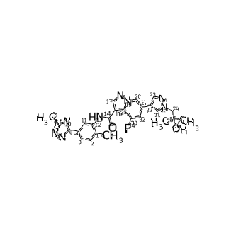 Cc1ccc(-c2nnn(C)n2)cc1NC(=O)c1cnn2cc(-c3cnn(CC(C)(C)O)c3)cc(F)c12